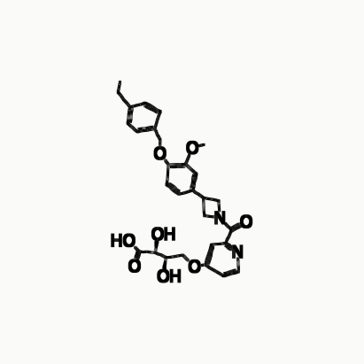 CCc1ccc(COc2ccc(C3CN(C(=O)c4cc(OC[C@@H](O)[C@H](O)C(=O)O)ccn4)C3)cc2OC)cc1